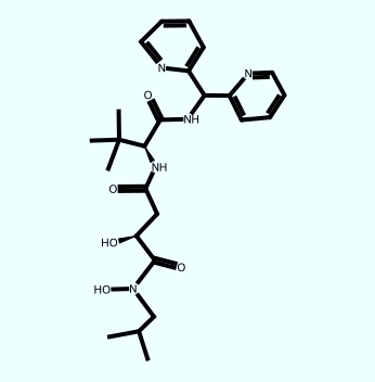 CC(C)CN(O)C(=O)[C@@H](O)CC(=O)N[C@H](C(=O)NC(c1ccccn1)c1ccccn1)C(C)(C)C